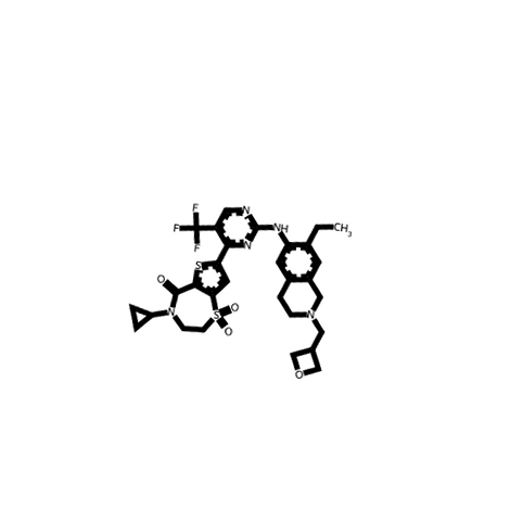 CCc1cc2c(cc1Nc1ncc(C(F)(F)F)c(-c3cc4c(s3)C(=O)N(C3CC3)CCS4(=O)=O)n1)CCN(CC1COC1)C2